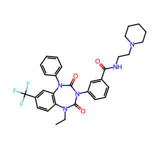 CCN1C(=O)N(c2cccc(C(=O)NCCN3CCCCC3)c2)C(=O)N(c2ccccc2)c2cc(C(F)(F)F)ccc21